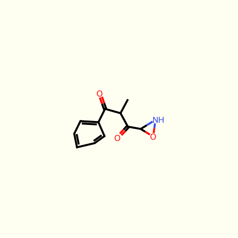 CC(C(=O)c1ccccc1)C(=O)C1NO1